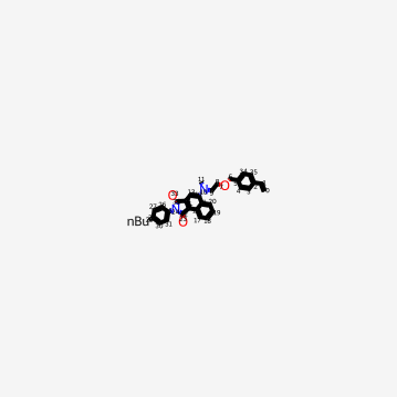 C=Cc1ccc(COCCN(C)c2cc3c(c4ccccc24)C(=O)N(c2ccc(CCCC)cc2)C3=O)cc1